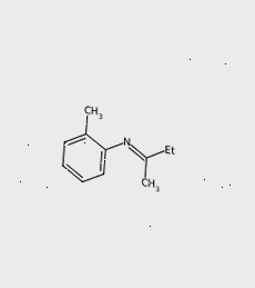 CCC(C)=Nc1ccccc1C